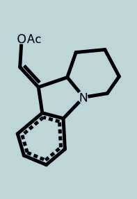 CC(=O)OC=C1c2ccccc2N2CCCCC12